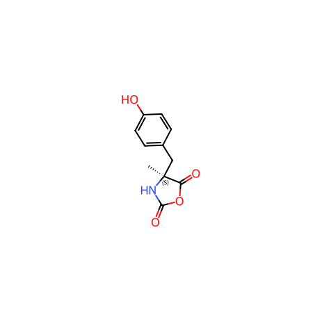 C[C@@]1(Cc2ccc(O)cc2)NC(=O)OC1=O